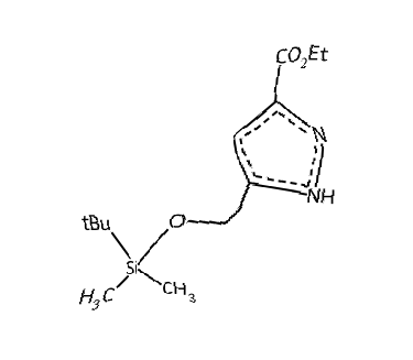 CCOC(=O)c1cc(CO[Si](C)(C)C(C)(C)C)[nH]n1